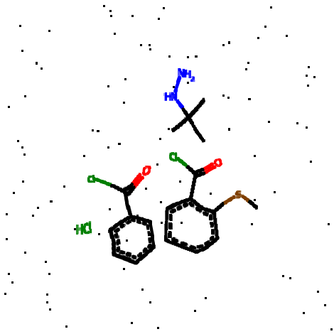 CC(C)(C)NN.CSc1ccccc1C(=O)Cl.Cl.O=C(Cl)c1ccccc1